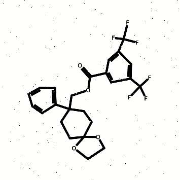 O=C(OCC1(c2ccccc2)CCC2(CC1)OCCO2)c1cc(C(F)(F)F)cc(C(F)(F)F)c1